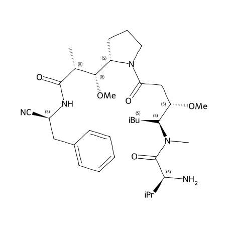 CC[C@H](C)[C@@H]([C@H](CC(=O)N1CCC[C@H]1[C@H](OC)[C@@H](C)C(=O)N[C@H](C#N)Cc1ccccc1)OC)N(C)C(=O)[C@@H](N)C(C)C